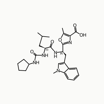 Cc1oc([C@@H](Cc2cn(C)c3ccccc23)NC(=O)[C@H](CC(C)C)NC(=O)NC2CCCC2)nc1C(=O)O